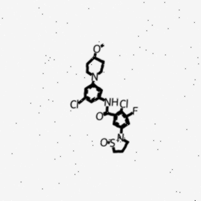 COC1CCN(c2cc(Cl)cc(NC(=O)c3cc(N4CCC[S+]4[O-])cc(F)c3Cl)c2)CC1